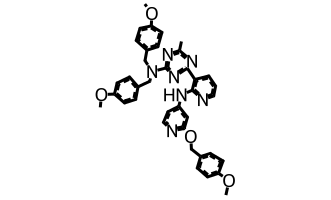 COc1ccc(COc2cc(Nc3ncccc3-c3nc(C)nc(N(Cc4ccc(OC)cc4)Cc4ccc(OC)cc4)n3)ccn2)cc1